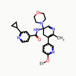 CCOc1ccc(C2=C(C)N=CC(NC(=O)c3ccnc(C4CC4)c3)(N3CCOCC3)C2)cn1